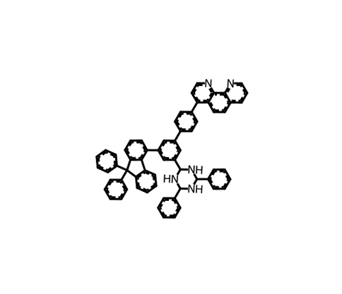 c1ccc(C2NC(c3ccccc3)NC(c3cc(-c4ccc(-c5ccnc6c5ccc5cccnc56)cc4)cc(-c4cccc5c4-c4ccccc4C5(c4ccccc4)c4ccccc4)c3)N2)cc1